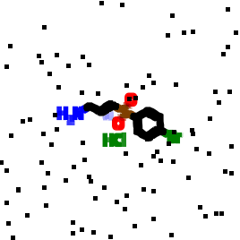 Cl.NC/C=C/S(=O)(=O)c1ccc(Br)cc1